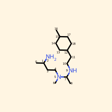 CC(N)CCN(C)C(C)NCCC1CCC(C)CC1